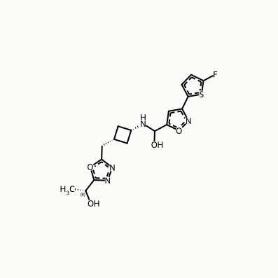 C[C@@H](O)c1nnc(C[C@H]2C[C@@H](NC(O)c3cc(-c4ccc(F)s4)no3)C2)o1